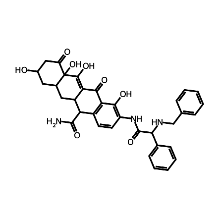 NC(=O)C1c2ccc(NC(=O)C(NCc3ccccc3)c3ccccc3)c(O)c2C(=O)C2=C(O)C3(O)C(=O)CC(O)CC3CC21